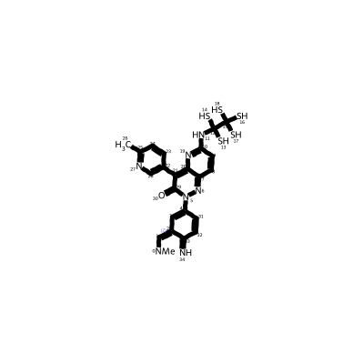 CN/C=C1/C=C(n2nc3ccc(NC(S)(S)C(S)(S)S)nc3c(-c3ccc(C)nc3)c2=O)C=CC1=N